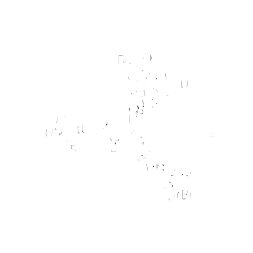 CCC(C)S(=O)(=O)NC(=O)[C@@]12C[C@H]1/C=C\CCCCC[C@H](NC(=O)OC(C)(C)C)C(=O)N1C[C@H](NC(=O)c3csc(NC(C)C)n3)C[C@H]1C(=O)N2